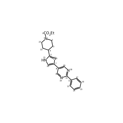 CCOC(=O)N1CCC(c2nc(-c3cnc(-c4ccccc4)nc3)c[nH]2)CC1